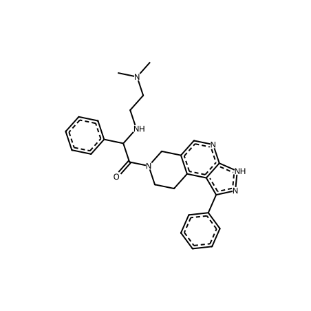 CN(C)CCNC(C(=O)N1CCc2c(cnc3[nH]nc(-c4ccccc4)c23)C1)c1ccccc1